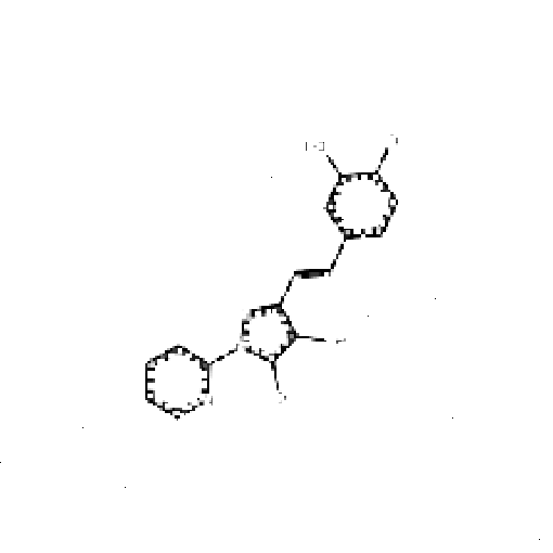 CCCc1c(/C=C/c2ccc(O)c(O)c2)nn(-c2ccccn2)c1O